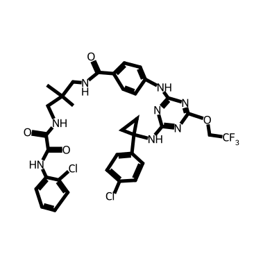 CC(C)(CNC(=O)C(=O)Nc1ccccc1Cl)CNC(=O)c1ccc(Nc2nc(NC3(c4ccc(Cl)cc4)CC3)nc(OCC(F)(F)F)n2)cc1